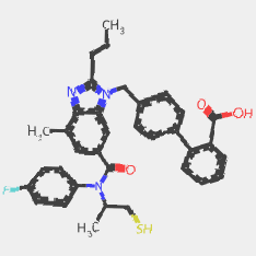 CCCc1nc2c(C)cc(C(=O)N(c3ccc(F)cc3)C(C)CS)cc2n1Cc1ccc(-c2ccccc2C(=O)O)cc1